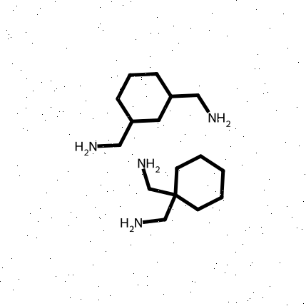 NCC1(CN)CCCCC1.NCC1CCCC(CN)C1